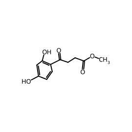 COC(=O)CCC(=O)c1ccc(O)cc1O